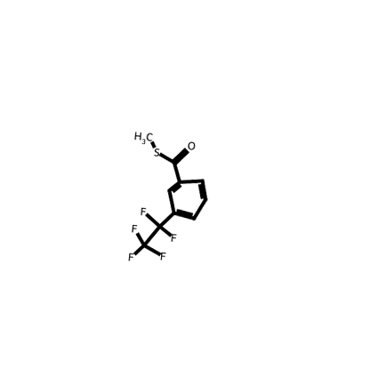 CSC(=O)c1cccc(C(F)(F)C(F)(F)F)c1